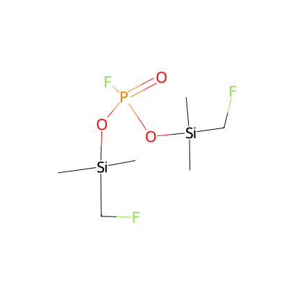 C[Si](C)(CF)OP(=O)(F)O[Si](C)(C)CF